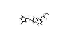 CNC(=O)CC1=CCOc2cc(OCc3cccc(F)c3)ccc21